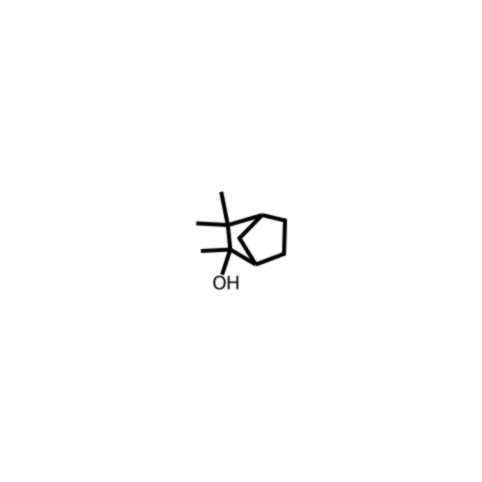 CC1(C)C2CCC(C2)C1(C)O